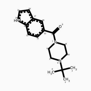 CC(C)(C)N1CCN(C(=O)c2ccc3[nH]ccc3c2)CC1